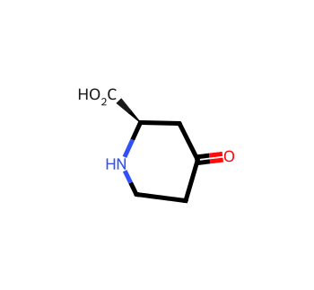 O=C1CCN[C@@H](C(=O)O)C1